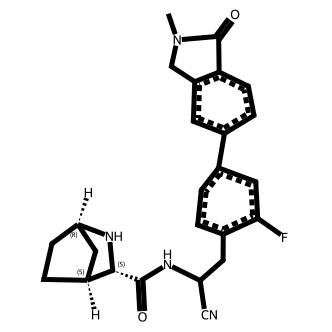 CN1Cc2cc(-c3ccc(CC(C#N)NC(=O)[C@H]4N[C@@H]5CC[C@H]4C5)c(F)c3)ccc2C1=O